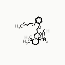 CSCCOc1ccccc1OCC(O)CN1C(C)(C)CCCC1(C)C.Cl